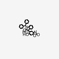 Cn1c(=O)oc2cc(O)c(C3(O)C(=O)N(C(c4ccccc4)c4ccccc4)c4ccccc43)cc21